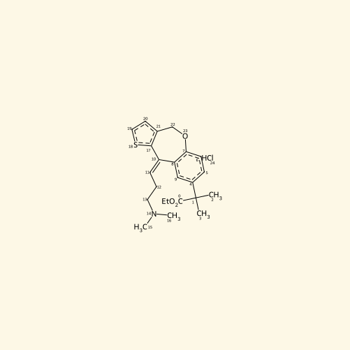 CCOC(=O)C(C)(C)c1ccc2c(c1)/C(=C\CCN(C)C)c1sccc1CO2.Cl